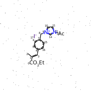 CCOC(=O)C(C)=Cc1ccc(C[n+]2ccn(C(C)=O)c2)cc1.[I-]